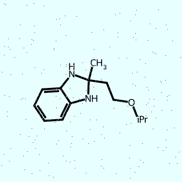 CC(C)OCCC1(C)Nc2ccccc2N1